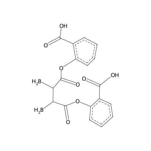 BC(C(=O)Oc1ccccc1C(=O)O)C(B)C(=O)Oc1ccccc1C(=O)O